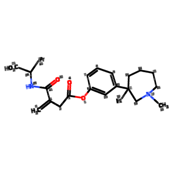 C=C(CC(=O)Oc1cccc(C2(CC)CCCCN(C)C2)c1)C(=O)NC(C(=O)O)C(C)C